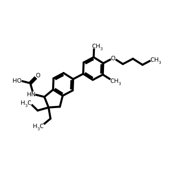 CCCCOc1c(C)cc(-c2ccc3c(c2)CC(CC)(CC)C3NC(=O)O)cc1C